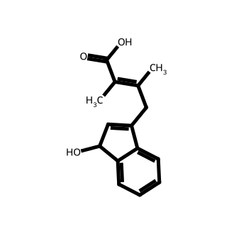 CC(CC1=CC(O)c2ccccc21)=C(C)C(=O)O